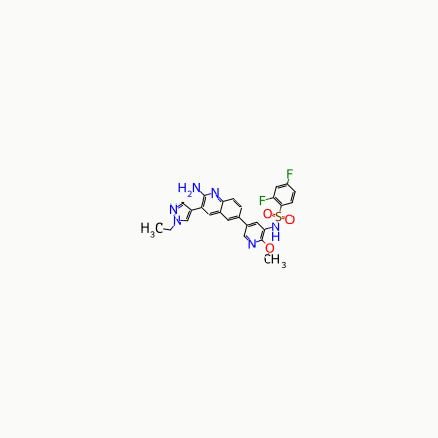 CCn1cc(-c2cc3cc(-c4cnc(OC)c(NS(=O)(=O)c5ccc(F)cc5F)c4)ccc3nc2N)cn1